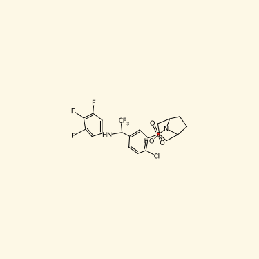 O=S(=O)(c1cc(C(Nc2cc(F)c(F)c(F)c2)C(F)(F)F)ccc1Cl)N1C2CCC1CC(O)C2